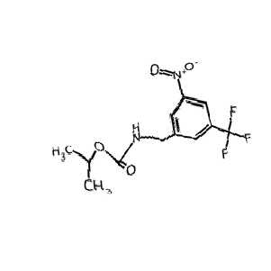 CC(C)OC(=O)NCc1cc([N+](=O)[O-])cc(C(F)(F)F)c1